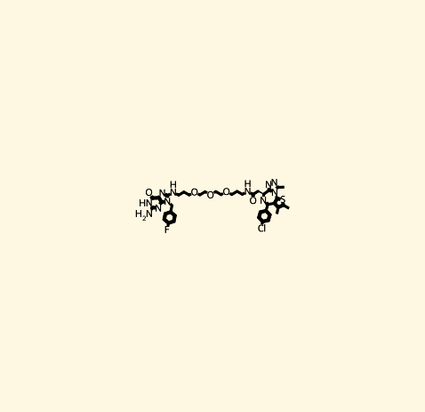 Cc1sc2c(c1C)C(c1ccc(Cl)cc1)=N[C@@H](CC(=O)NCCCOCCOCCOCCCNc1nc3c(=O)[nH]c(N)nc3n1Cc1ccc(F)cc1)c1nnc(C)n1-2